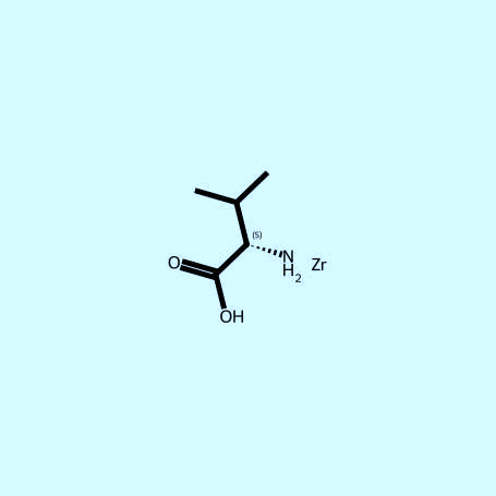 CC(C)[C@H](N)C(=O)O.[Zr]